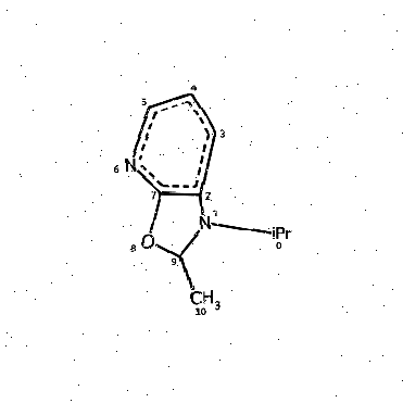 CC(C)N1c2cccnc2OC1C